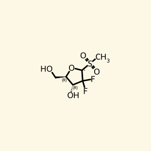 CS(=O)(=O)[C]1O[C@H](CO)[C@@H](O)C1(F)F